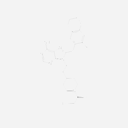 C[C@H](O)C(=O)N1CCC(CCn2c(Sc3cc4c(cc3I)OCCO4)nc3c(N)ncnc32)CC1